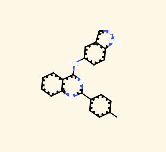 Cc1ccc(-c2nc(Nc3ccc4[nH]ncc4c3)c3ccccc3n2)cc1